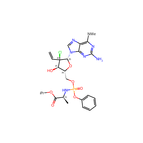 C=C[C@@]1(Cl)[C@H](O)[C@@H](COP(=O)(N[C@@H](C)C(=O)OC(C)C)Oc2ccccc2)O[C@H]1n1cnc2c(NC)nc(N)nc21